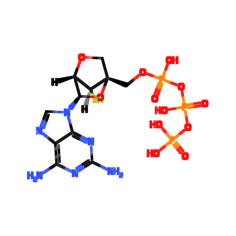 Nc1nc(N)c2ncn([C@@H]3O[C@@]4(COP(=O)(O)OP(=O)(O)OP(=O)(O)O)CO[C@@H]3[C@@H]4S)c2n1